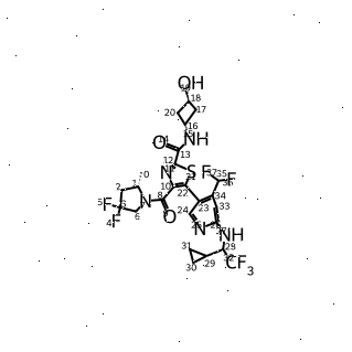 C[C@H]1CC(F)(F)CN1C(=O)c1nc(C(=O)N[C@H]2C[C@H](O)C2)sc1-c1cnc(NC(C2CC2)C(F)(F)F)cc1C(F)F